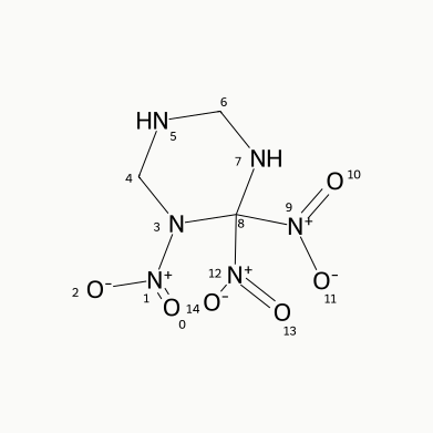 O=[N+]([O-])N1CNCNC1([N+](=O)[O-])[N+](=O)[O-]